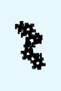 Cn1nnnc1C(=NOCc1cccc(Nc2ccccc2)n1)c1cccc(C(F)(F)F)c1F